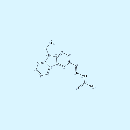 CCn1c2ccccc2c2cc(C=NNC(N)=S)ccc21